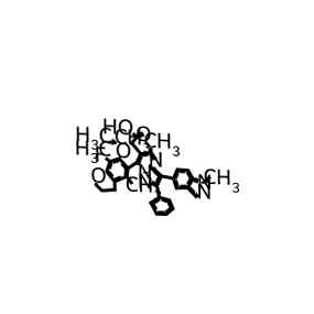 Cc1nc2c(-c3ccc4c(cnn4C)c3)c(-c3ccccc3)nn2c(-c2cc(F)c3c(c2C)CCCO3)c1[C@H](OC(C)(C)C)C(=O)O